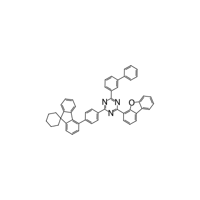 c1ccc(-c2cccc(-c3nc(-c4ccc(-c5cccc6c5-c5ccccc5C65CCCCC5)cc4)nc(-c4cccc5c4oc4ccccc45)n3)c2)cc1